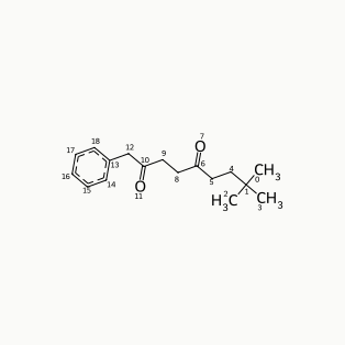 CC(C)(C)CCC(=O)CCC(=O)Cc1ccccc1